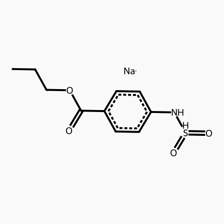 CCCOC(=O)c1ccc(N[SH](=O)=O)cc1.[Na]